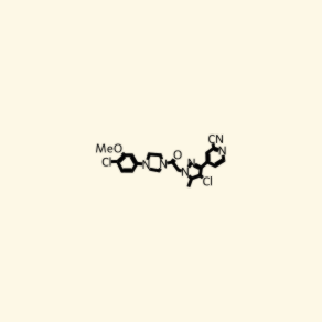 COc1cc(N2CCN(C(=O)CN3N=C(c4ccnc(C#N)c4)C(Cl)C3C)CC2)ccc1Cl